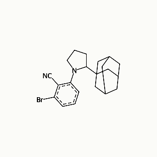 N#Cc1c(Br)cccc1N1CCCC1C12CC3CC(CC(C3)C1)C2